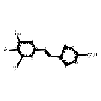 CC(C)c1c(O)cc(C=Cc2ccc(C(=O)O)cc2)cc1O